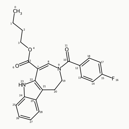 CCCCOC(=O)C1=CN(C(=O)c2ccc(F)cc2)CCc2c1[nH]c1ccccc21